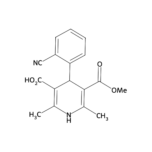 COC(=O)C1=C(C)NC(C)=C(C(=O)O)C1c1ccccc1C#N